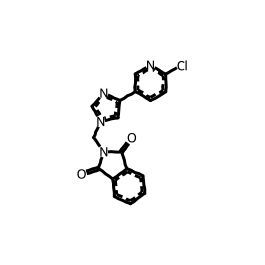 O=C1c2ccccc2C(=O)N1Cn1cnc(-c2ccc(Cl)nc2)c1